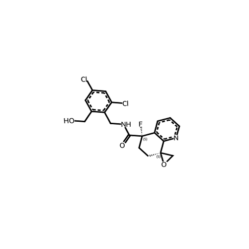 O=C(NCc1c(Cl)cc(Cl)cc1CO)[C@]1(F)CC[C@@]2(CO2)c2ncccc21